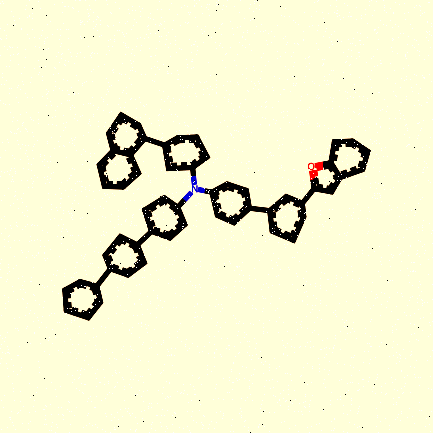 c1ccc(-c2ccc(-c3ccc(N(c4ccc(-c5cccc(-c6cc7ccccc7o6)c5)cc4)c4cccc(-c5cccc6ccccc56)c4)cc3)cc2)cc1